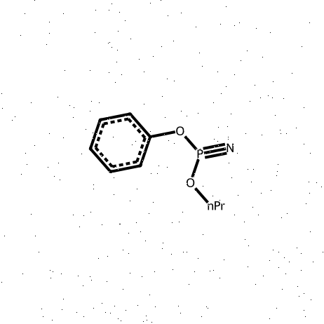 CCCOP(#N)Oc1ccccc1